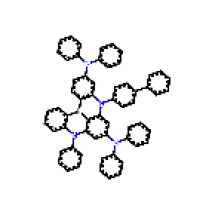 c1ccc(-c2ccc(N3c4cc(N(c5ccccc5)c5ccccc5)ccc4B4c5ccccc5N(c5ccccc5)c5cc(N(c6ccccc6)c6ccccc6)cc3c54)cc2)cc1